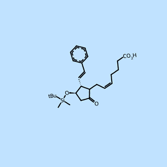 CC(C)(C)[Si](C)(C)O[C@@H]1CC(=O)C(C/C=C\CCCC(=O)O)[C@H]1C=Cc1ccccc1